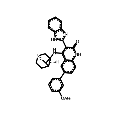 COc1cccc(-c2ccc3[nH]c(=O)c(-c4nc5ccccc5[nH]4)c(N[C@@H]4CN5CCC4CC5)c3c2)c1